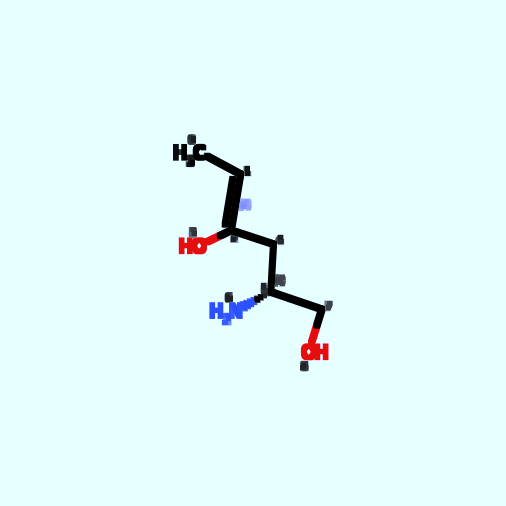 C/C=C(\O)C[C@@H](N)CO